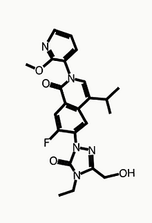 CCn1c(CO)nn(-c2cc3c(C(C)C)cn(-c4cccnc4OC)c(=O)c3cc2F)c1=O